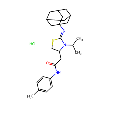 Cc1ccc(NC(=O)CC2CSC(=NC34CC5CC(CC(C5)C3)C4)N2C(C)C)cc1.Cl